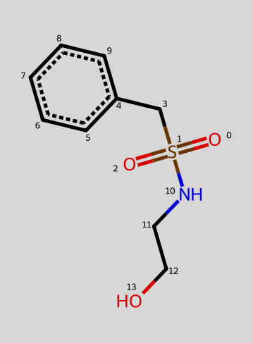 O=S(=O)(Cc1ccccc1)NCCO